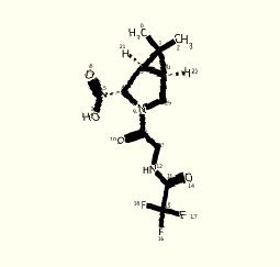 CC1(C)[C@@H]2[C@@H](C(=O)O)N(C(=O)CNC(=O)C(F)(F)F)C[C@@H]21